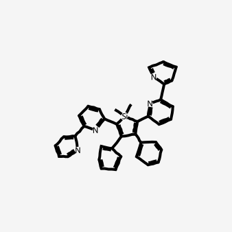 C[Si]1(C)C(c2cccc(-c3ccccn3)n2)=C(c2ccccc2)C(c2ccccc2)=C1c1cccc(-c2ccccn2)n1